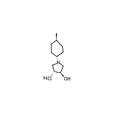 C[C@H]1CC[C@H](N2C[C@@H](O)[C@H](O)C2)CC1